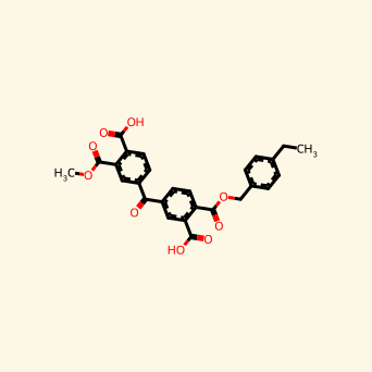 CCc1ccc(COC(=O)c2ccc(C(=O)c3ccc(C(=O)O)c(C(=O)OC)c3)cc2C(=O)O)cc1